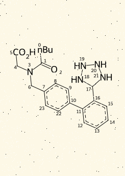 CCCCC(=O)N(CC(=O)O)Cc1ccc(-c2ccccc2C2NNNN2)cc1